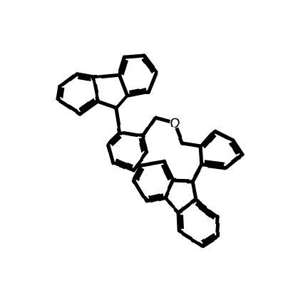 c1ccc(C2c3ccccc3-c3ccccc32)c(COCc2ccccc2C2c3ccccc3-c3ccccc32)c1